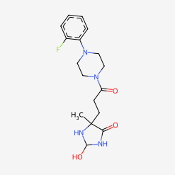 CC1(CCC(=O)N2CCN(c3ccccc3F)CC2)NC(O)NC1=O